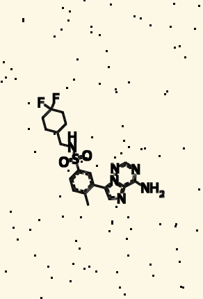 Cc1ccc(S(=O)(=O)NCC2CCC(F)(F)CC2)cc1-c1cnc2c(N)ncnn12